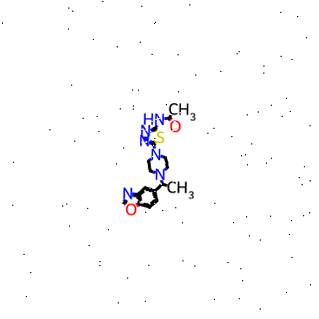 CC(=O)Nc1nnc(N2CCN(C(C)c3ccc4ocnc4c3)CC2)s1